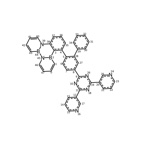 C1=CB2c3c(-c4ccc(-c5nc(-c6cccnc6)nc(-c6cccnc6)n5)cc4-c4ccccc4)cccc3N3C=CC=CB3N2C=C1